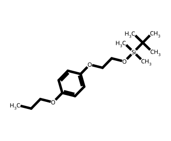 CCCOc1ccc(OCCO[Si](C)(C)C(C)(C)C)cc1